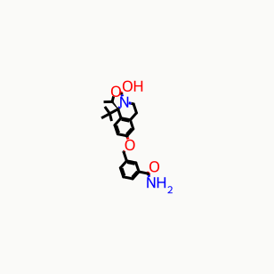 CC(C)[C@]1(C(C)(C)C)c2ccc(OCc3cccc(C(N)=O)c3)cc2CCN1C(=O)O